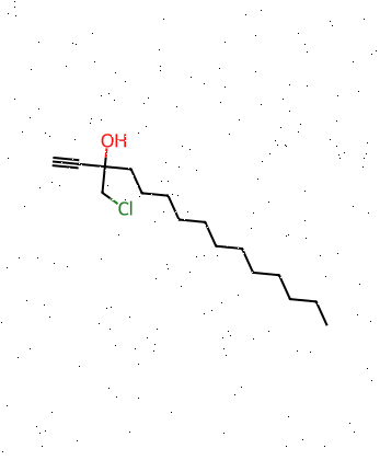 C#CC(O)(CCl)CCCCCCCCCCCC